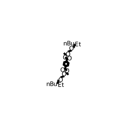 CCCCC(CC)COCCOC(C)OC(=O)c1ccc(C(=O)OC(C)OCCOCC(CC)CCCC)cc1